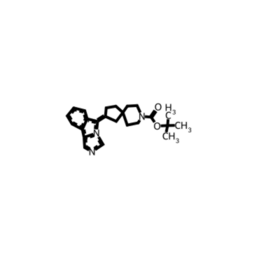 CC(C)(C)OC(=O)N1CCC2(CCC(=c3c4ccccc4c4cncn34)C2)CC1